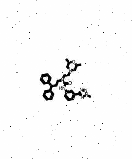 CC1CN(CCN(CCC(c2ccccc2)c2ccccc2)C(=O)Nc2cccc(-c3nnn(C)n3)c2)CC(C)O1